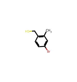 Cc1cc(Br)ccc1CS